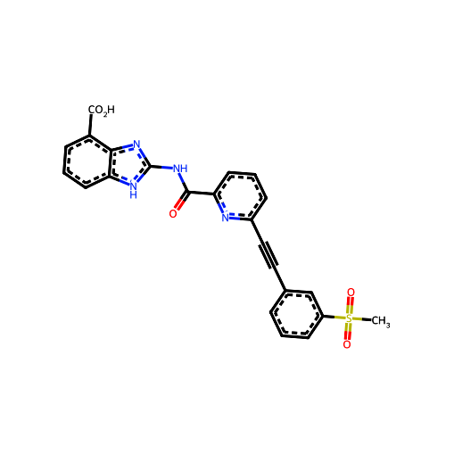 CS(=O)(=O)c1cccc(C#Cc2cccc(C(=O)Nc3nc4c(C(=O)O)cccc4[nH]3)n2)c1